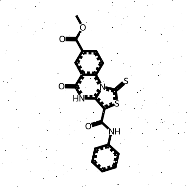 COC(=O)c1ccc2c(c1)c(=O)[nH]c1c(C(=O)Nc3ccccc3)sc(=S)n12